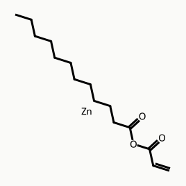 C=CC(=O)OC(=O)CCCCCCCCCCC.[Zn]